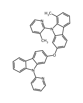 Cc1cccnc1-n1c2cc(Oc3ccc4c5ccccc5n(-c5ccccn5)c4c3)ccc2c2cccc(C)c21